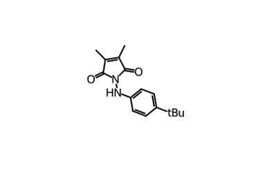 CC1=C(C)C(=O)N(Nc2ccc(C(C)(C)C)cc2)C1=O